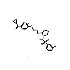 O=C(c1ccc(OCCCC2CCCN2NS(=O)(=O)c2cccc(F)c2)cc1)C1CC1